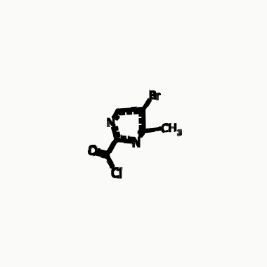 Cc1nc(C(=O)Cl)ncc1Br